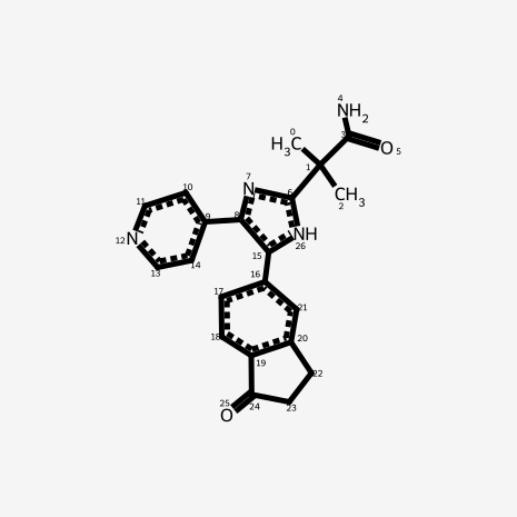 CC(C)(C(N)=O)c1nc(-c2ccncc2)c(-c2ccc3c(c2)CCC3=O)[nH]1